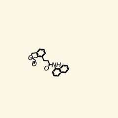 O=C(CCc1cccc2c1S(=O)OC2)Nc1cccc2ccccc12